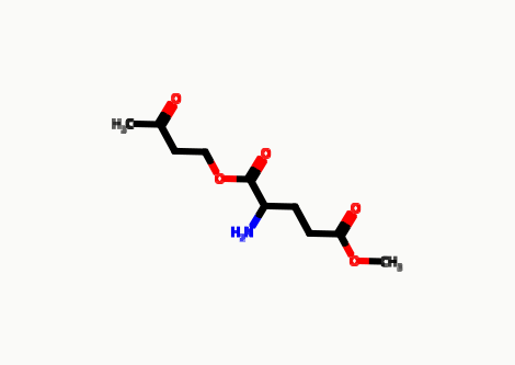 COC(=O)CCC(N)C(=O)OCCC(C)=O